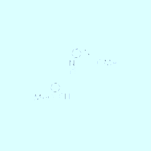 COCC1CCN(c2cccc(N(C[C@H]3CC[C@H](c4ccc(OC)c(C)c4)CC3)C(=O)C3CCCCC3)c2)C1